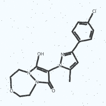 Cc1cc(-c2ccc(Cl)cc2)nn1-c1c(O)n2n(c1=O)CCOCC2